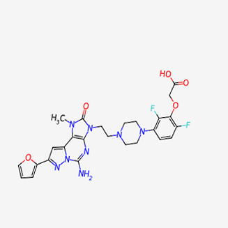 Cn1c(=O)n(CCN2CCN(c3ccc(F)c(OCC(=O)O)c3F)CC2)c2nc(N)n3nc(-c4ccco4)cc3c21